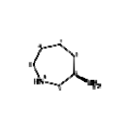 B[C@@H]1CCCCNC1